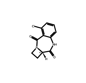 O=C1Nc2cccc(Cl)c2C(=O)N2CC[C@@H]12